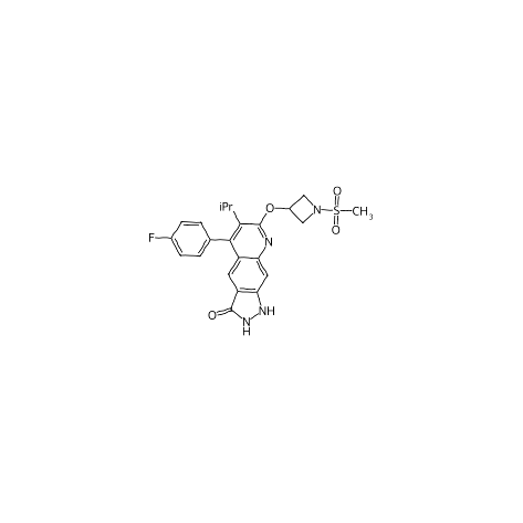 CC(C)c1c(OC2CN(S(C)(=O)=O)C2)nc2cc3[nH][nH]c(=O)c3cc2c1-c1ccc(F)cc1